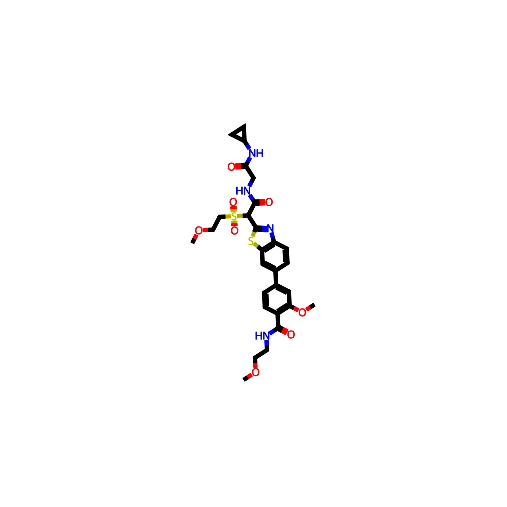 COCCNC(=O)c1ccc(-c2ccc3nc(C(C(=O)NCC(=O)NC4CC4)S(=O)(=O)CCOC)sc3c2)cc1OC